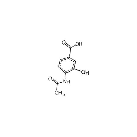 CC(=O)Nc1ccc(C(=O)O)cc1O